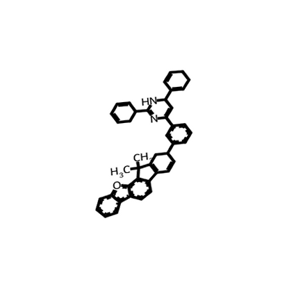 CC1(C)C2=C(C=CC(c3cccc(C4=CC(C5=CCCC=C5)NC(C5C=CC=CC5)=N4)c3)C2)c2ccc3c(oc4ccccc43)c21